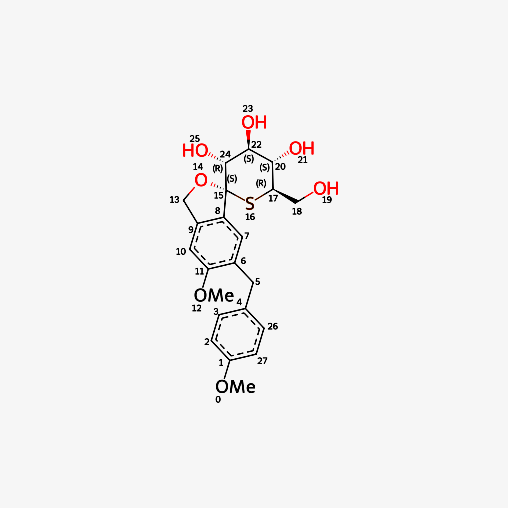 COc1ccc(Cc2cc3c(cc2OC)CO[C@]32S[C@H](CO)[C@@H](O)[C@H](O)[C@H]2O)cc1